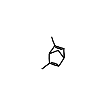 CC1=CC2C=C(C)C1C2